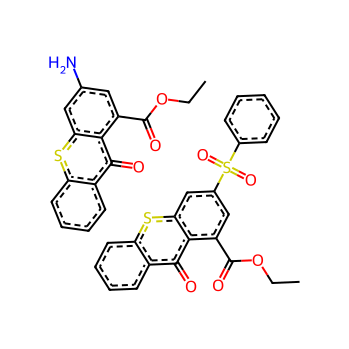 CCOC(=O)c1cc(N)cc2sc3ccccc3c(=O)c12.CCOC(=O)c1cc(S(=O)(=O)c2ccccc2)cc2sc3ccccc3c(=O)c12